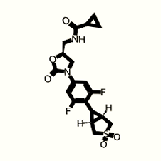 O=C(NC[C@H]1CN(c2cc(F)c(C3[C@H]4CS(=O)(=O)C[C@@H]34)c(F)c2)C(=O)O1)C1CC1